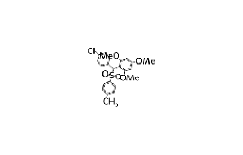 COc1cc(OC)c(C(c2ccc(Cl)cc2)S(=O)(=O)c2ccc(C)cc2)c(OC)c1